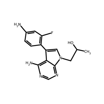 CC(O)Cn1cc(-c2ccc(N)cc2F)c2c(N)ncnc21